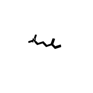 C=CC(=C)CCCN(C)C